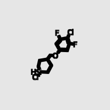 Fc1cc(OCC2CC[SiH](Cl)CC2)cc(F)c1Cl